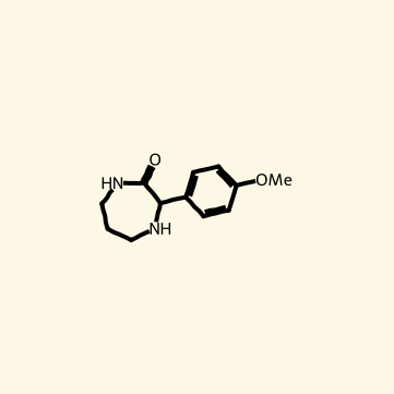 COc1ccc(C2NCCCNC2=O)cc1